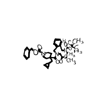 COC(=O)CN(Cc1ccccc1CN(C)C(=O)OC(C)(C)C)C(=O)C1(CC2CC2)CCN(C(=O)OCc2ccccc2)CC1